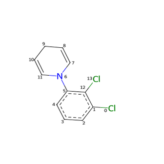 Clc1cccc(N2C=CCC=C2)c1Cl